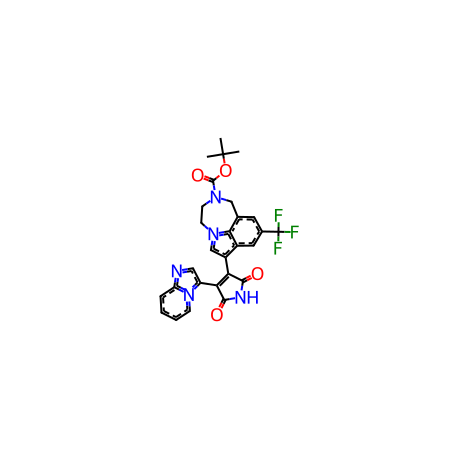 CC(C)(C)OC(=O)N1CCn2cc(C3=C(c4cnc5ccccn45)C(=O)NC3=O)c3cc(C(F)(F)F)cc(c32)C1